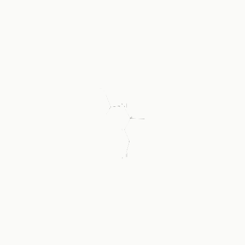 CCC(CC)NC(C)CCC(C)C